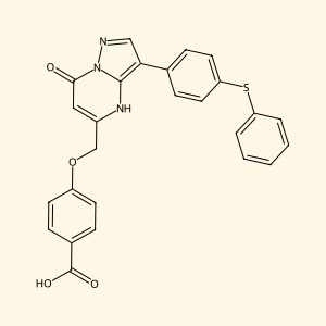 O=C(O)c1ccc(OCc2cc(=O)n3ncc(-c4ccc(Sc5ccccc5)cc4)c3[nH]2)cc1